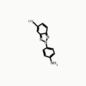 Nc1ccc(-n2nc3ccc([123I])cc3n2)cc1